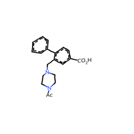 CC(=O)N1CCN(Cc2cc(C(=O)O)ccc2-c2ccccc2)CC1